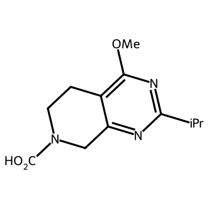 COc1nc(C(C)C)nc2c1CCN(C(=O)O)C2